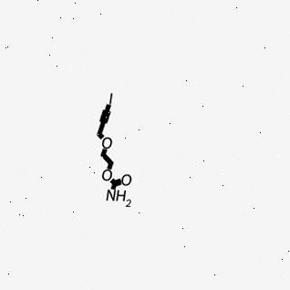 NC(=O)OCCOCC#CI